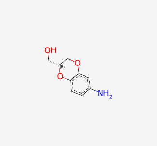 Nc1ccc2c(c1)OC[C@@H](CO)O2